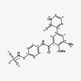 COc1c(C(=O)Nc2ccc(CNS(C)(=O)=O)cc2)cc(-c2ccc[nH]c2=O)cc1C(C)(C)C